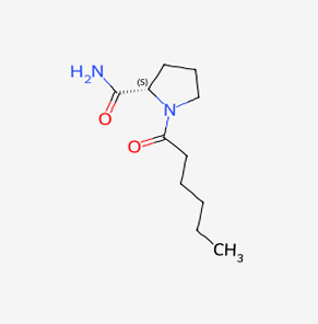 CCCCCC(=O)N1CCC[C@H]1C(N)=O